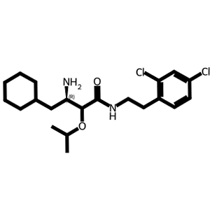 CC(C)OC(C(=O)NCCc1ccc(Cl)cc1Cl)[C@H](N)CC1CCCCC1